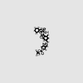 Cc1cc(Cn2cc3c(n2)CN(C(=O)OC(C)(C)C)C3)cc2onc(NS(=O)(=O)CC3CCCCC3)c12